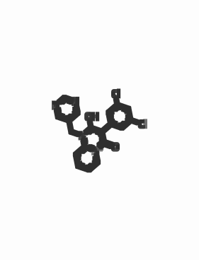 O=c1c(-c2cc(Cl)cc(Cl)c2)c(O)n(Cc2cncnc2)c2cccc[n+]12